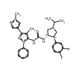 Cc1c(-c2cnn(C)c2)nn(-c2ccccc2)c1NC(=O)N[C@@H]1CN(C(C)C)C[C@H]1c1ccc(F)c(F)c1